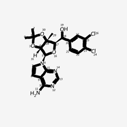 CC1(C)O[C@H]2[C@H](n3ccc4c(N)ncnc43)O[C@H](C(O)c3ccc(Cl)c(Cl)c3)[C@@]2(C)O1